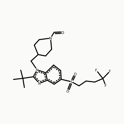 CC(C)(C)c1nc2cc(S(=O)(=O)CCCC(F)(F)F)ccc2n1CC1CCN(C=O)CC1